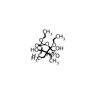 CCOC1(P(=O)(O)O)OP(=O)(OCC)C(C)(O)C1(CC)CC